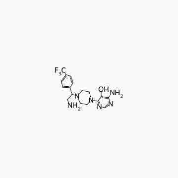 NCC(c1ccc(C(F)(F)F)cc1)N1CCN(c2ncnc(N)c2O)CC1